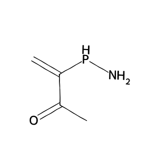 C=C(PN)C(C)=O